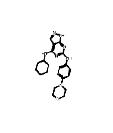 c1cc(N2CCOCC2)ccc1Nc1nc(NC2CCCCC2)c2cn[nH]c2n1